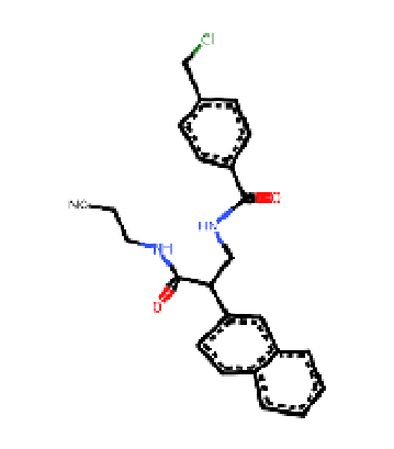 N#CCCNC(=O)C(CNC(=O)c1ccc(CCl)cc1)c1ccc2ccccc2c1